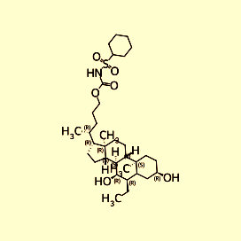 CC[C@@H]1C2C[C@H](O)CC[C@]2(C)[C@H]2CC[C@]3(C)[C@@H]([C@H](C)CCCOC(=O)NS(=O)(=O)C4CCCCC4)CC[C@H]3[C@@H]2[C@@H]1O